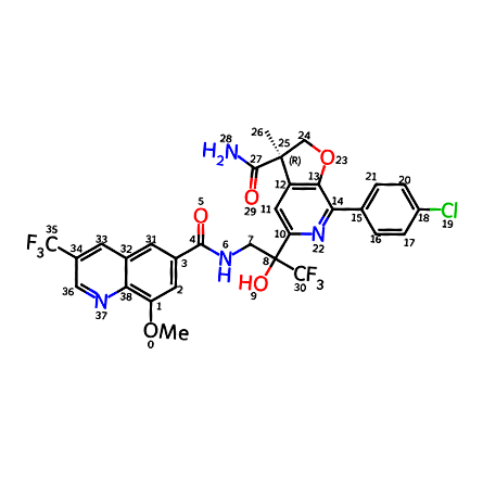 COc1cc(C(=O)NCC(O)(c2cc3c(c(-c4ccc(Cl)cc4)n2)OC[C@]3(C)C(N)=O)C(F)(F)F)cc2cc(C(F)(F)F)cnc12